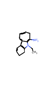 CCn1c2c(c3c1=C(N)CC=CC=3)C=CCC2